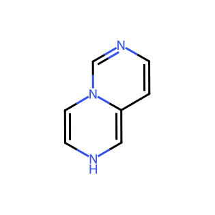 C1=CC2=CNC=CN2C=N1